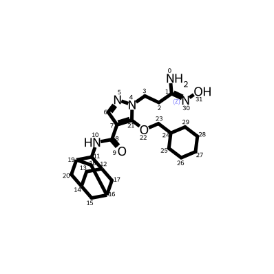 N/C(CCn1ncc(C(=O)NC2C3CC4CC(C3)CC2C4)c1OCC1CCCCC1)=N\O